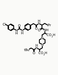 CC(C)CC(NC(=O)Cc1ccc(NC(=O)Nc2ccc(Cl)cc2)cc1)C(=O)NC(CN1CCN(CC(NC(=O)CC(C)(C)C)C(=O)O)CC1)C(=O)O